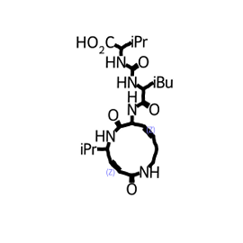 CCC(C)C(NC(=O)NC(C(=O)O)C(C)C)C(=O)NC1/C=C\CCNC(=O)/C=C\C(C(C)C)NC1=O